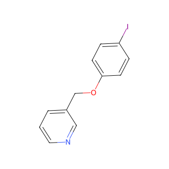 Ic1ccc(OCc2cccnc2)cc1